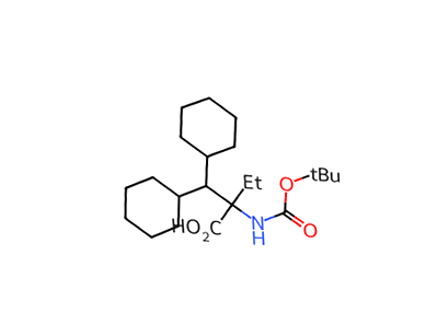 CCC(NC(=O)OC(C)(C)C)(C(=O)O)C(C1CCCCC1)C1CCCCC1